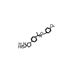 COc1ccc(CO/N=C(\C)c2ccc([C@@H]3CC[C@](N)(CO)C3)cc2)cc1